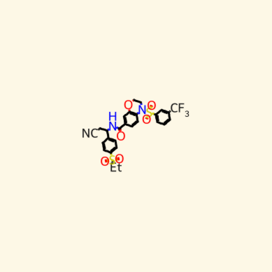 CCS(=O)(=O)c1ccc(C(CC#N)NC(=O)c2ccc3c(c2)OCCN3S(=O)(=O)c2cccc(C(F)(F)F)c2)cc1